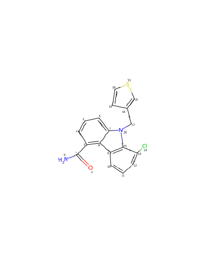 NC(=O)c1cccc2c1c1[c]ccc(Cl)c1n2Cc1ccsc1